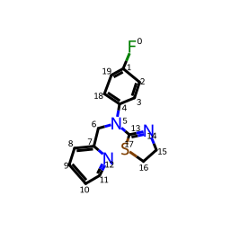 Fc1ccc(N(Cc2ccccn2)C2=NCCS2)cc1